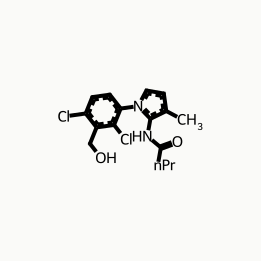 CCCC(=O)Nc1c(C)ccn1-c1ccc(Cl)c(CO)c1Cl